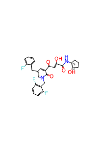 O=C(N[C@H]1CCC[C@@H]1O)C(O)=CC(=O)c1cc(Cc2ccccc2F)cn(Cc2c(F)cccc2F)c1=O